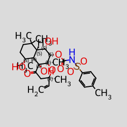 C=C[C@@]1(C)CC(=O)[C@]2(O)[C@@]3(C)[C@@H](O)CCC(C)(C)[C@@H]3[C@H](O)[C@H](OC(=O)NS(=O)(=O)c3ccc(C)cc3)[C@@]2(C)O1